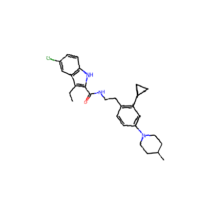 CCc1c(C(=O)NCCc2ccc(N3CCC(C)CC3)cc2C2CC2)[nH]c2ccc(Cl)cc12